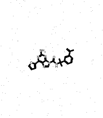 C=C(C)c1cccc(C(C)(C)NC(=O)n2cnc3c(-c4ccco4)nc(N)nc32)c1